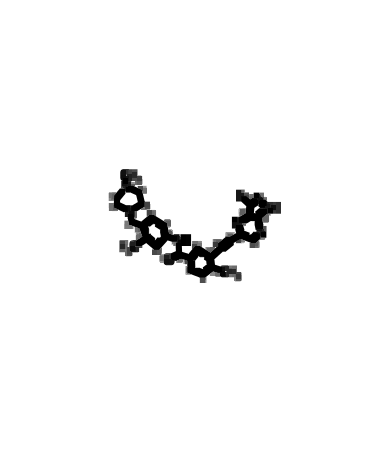 Cc1ccc(C(=O)Nc2ccc(CN3CCN(C)CC3)c(C(F)(F)F)c2)cc1C#Cc1cnc2[nH]nc(F)c2n1